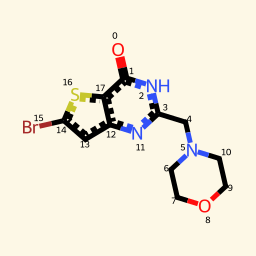 O=c1[nH]c(CN2CCOCC2)nc2cc(Br)sc12